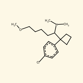 COCCCCC(N(C)C)C1(c2ccc(Cl)cc2)CCC1